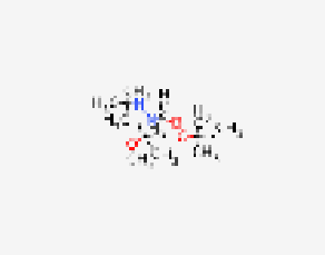 CCC(C)(C)OOC(C)(CC(C)(C)OC)N=NC(C)(C)C